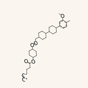 [CH2+][CH-]CCCC(=O)OC1CCC(OOCC2CCC(C3CCC(c4ccc(C)c(OC)c4)CC3)CC2)CC1